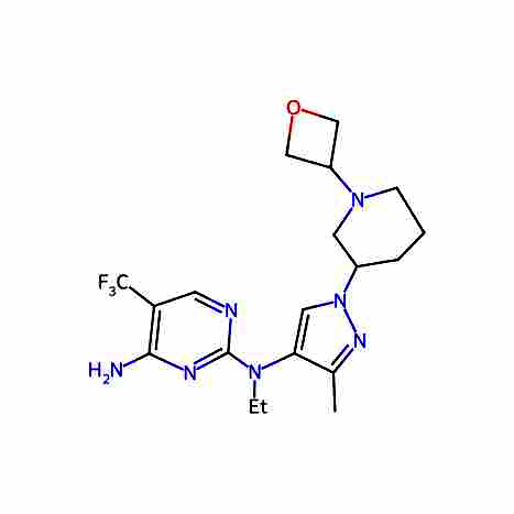 CCN(c1ncc(C(F)(F)F)c(N)n1)c1cn(C2CCCN(C3COC3)C2)nc1C